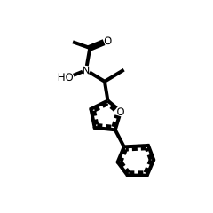 CC(=O)N(O)C(C)c1ccc(-c2ccccc2)o1